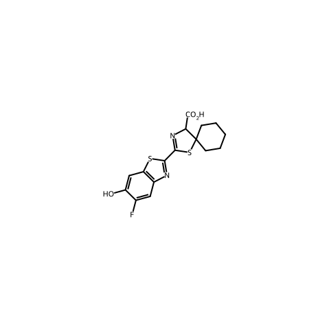 O=C(O)C1N=C(c2nc3cc(F)c(O)cc3s2)SC12CCCCC2